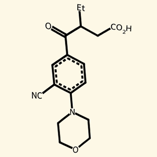 CCC(CC(=O)O)C(=O)c1ccc(N2CCOCC2)c(C#N)c1